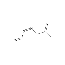 C=C/N=N\SC(=C)C